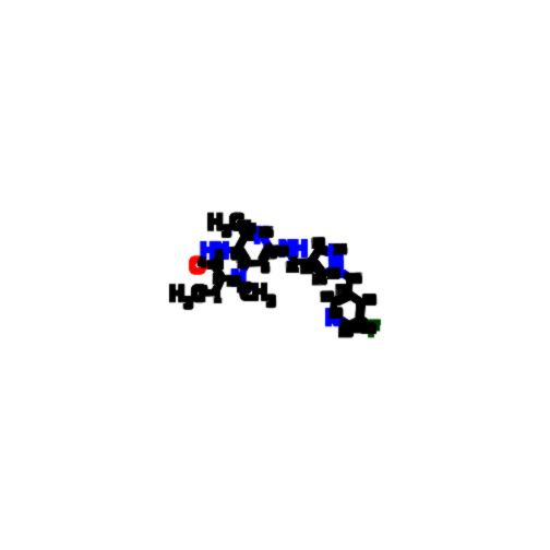 CC[C@H]1C(=O)Nc2c(cc(NCc3cnn(Cc4cncc(F)c4)c3)nc2C)N1C